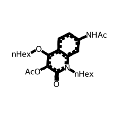 CCCCCCOc1c(OC(C)=O)c(=O)n(CCCCCC)c2cc(NC(C)=O)ccc12